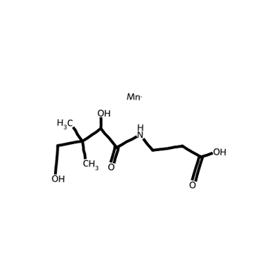 CC(C)(CO)C(O)C(=O)NCCC(=O)O.[Mn]